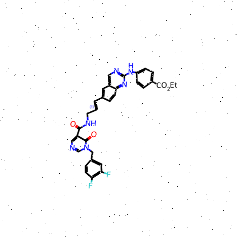 CCOC(=O)c1ccc(Nc2ncc3cc(/C=C/CNC(=O)c4cncn(Cc5ccc(F)c(F)c5)c4=O)ccc3n2)cc1